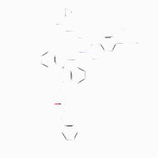 COc1cc2c(cc1OC)C(CCCCN(C)C1CC1)N(CCCC(CCCNC(=O)CCc1ccc(F)cc1)(c1ccccc1)c1ccccc1)CC2.Cl.Cl